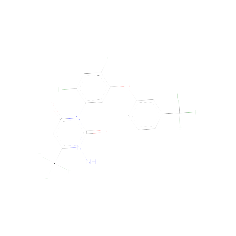 Nn1c(C(F)(F)F)cc(=O)n(-c2cc(Oc3cccc(C(F)(F)F)c3)c(Cl)cc2F)c1=O